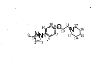 Cc1ccn(-c2ccc(OCCN3CCCCC3)cc2)n1